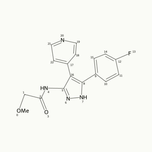 COCC(=O)Nc1n[nH]c(-c2ccc(F)cc2)c1-c1ccncc1